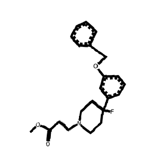 COC(=O)CCN1CCC(F)(c2cccc(OCc3ccccc3)c2)CC1